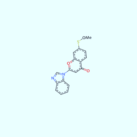 COSc1ccc2c(=O)cc(-n3cnc4ccccc43)oc2c1